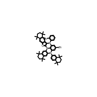 CC(C)c1cc2c3c(c1)N(c1ccccc1C(C)(C)C)c1c(oc4cc5c(cc14)C(C)(C)CCC5(C)C)B3c1cc3c(cc1N2c1ccc2c(c1)C(C)(C)CCC2(C)C)C(C)(C)CCC3(C)C